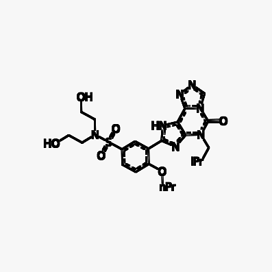 CCCOc1ccc(S(=O)(=O)N(CCO)CCO)cc1-c1nc2c([nH]1)c1nncn1c(=O)n2CC(C)C